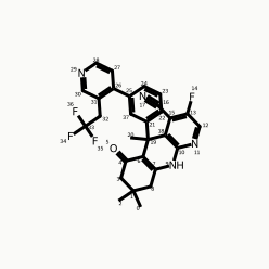 CC1(C)CC(=O)C2=C(C1)Nc1ncc(F)c(C#N)c1C2(C)c1cccc(-c2ccncc2CC(F)(F)F)c1